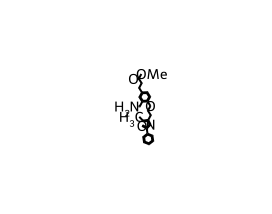 COC(=O)CCc1ccc(OCCc2nc(-c3ccccc3)oc2C)c(CN)c1